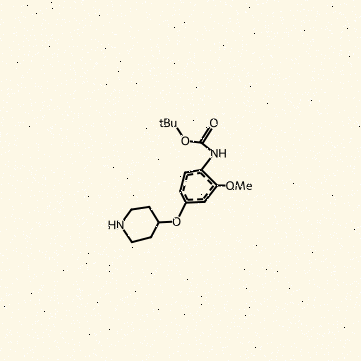 COc1cc(OC2CCNCC2)ccc1NC(=O)OC(C)(C)C